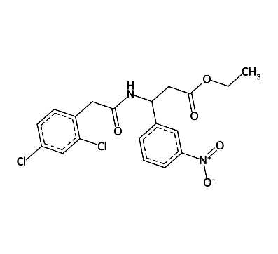 CCOC(=O)CC(NC(=O)Cc1ccc(Cl)cc1Cl)c1cccc([N+](=O)[O-])c1